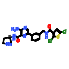 Nc1ncc(-c2cccc(CNC(=O)c3cc(Cl)sc3Cl)c2)nc1C(=O)N[C@H]1CCCNC1